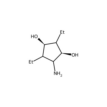 CCC1C(N)[C@H](O)C(CC)[C@@H]1O